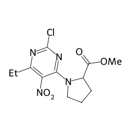 CCc1nc(Cl)nc(N2CCCC2C(=O)OC)c1[N+](=O)[O-]